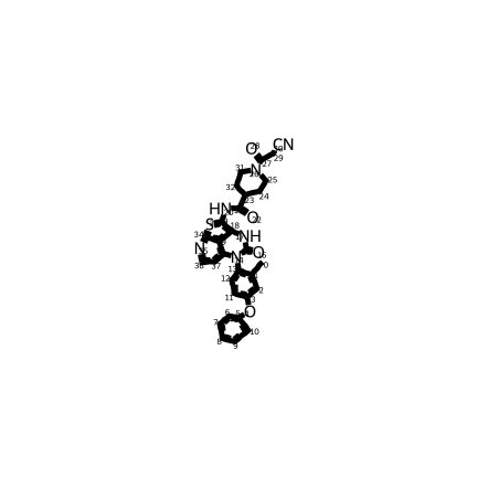 Cc1cc(Oc2ccccc2)ccc1N1C(=O)Nc2c(NC(=O)C3CCN(C(=O)CC#N)CC3)sc3nccc1c23